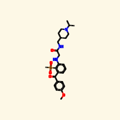 COc1ccc(C(=O)c2cccc(NCC(=O)NCC3CCN(C(C)C)CC3)c2S(C)(=O)=O)cc1